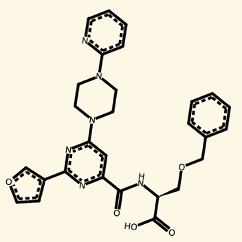 O=C(N[C@@H](COCc1ccccc1)C(=O)O)c1cc(N2CCN(c3ccccn3)CC2)nc(-c2ccoc2)n1